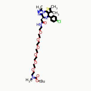 Cc1sc2c(c1C)C(c1ccc(Cl)cc1)=N[C@@H](CC(=O)NCCOCCOCCOCCOCCOCCOCCN(C)C(=O)OC(C)(C)C)c1nnc(C)n1-2